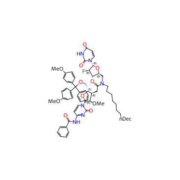 CCCCCCCCCCCCCCCCCN(C[C@H]1[CH][C@@H](F)[C@H](n2ccc(=O)[nH]c2=O)O1)C(=O)C[C@H]1[C@@H](OC)[C@H](n2ccc(NC(=O)c3ccccc3)nc2=O)O[C@@H]1COC(c1ccccc1)(c1ccc(OC)cc1)c1ccc(OC)cc1